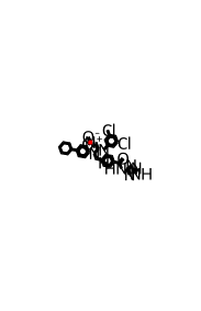 O=C(Nc1nn[nH]n1)c1ccc(CN(/C(=C\[N+](=O)[O-])Nc2cc(Cl)cc(Cl)c2)c2ccc(C3CCCCC3)cc2)cc1